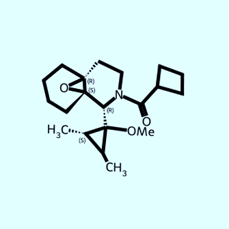 COC1([C@H]2N(C(=O)C3CCC3)CC[C@]34CCCC[C@]23O4)C(C)[C@@H]1C